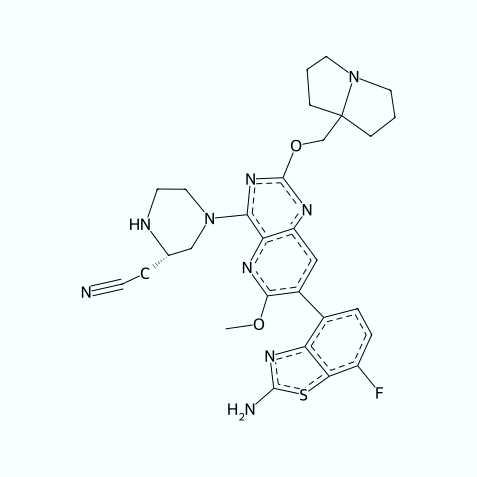 COc1nc2c(N3CCN[C@@H](CC#N)C3)nc(OCC34CCCN3CCC4)nc2cc1-c1ccc(F)c2sc(N)nc12